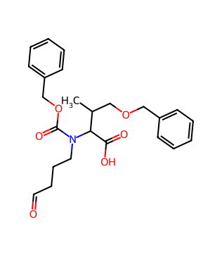 CC(COCc1ccccc1)C(C(=O)O)N(CCCC=O)C(=O)OCc1ccccc1